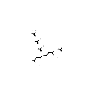 CC(C)CCSCCC(C)C.NC(=S)[S-].NC(=S)[S-].NC(=S)[S-].NC(=S)[S-].[Mo+4]